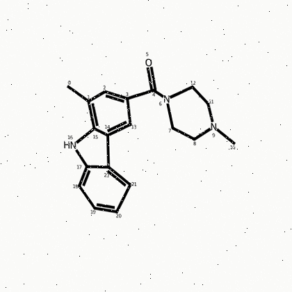 Cc1cc(C(=O)N2CCN(C)CC2)cc2c1[nH]c1ccccc12